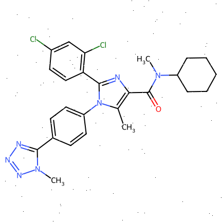 Cc1c(C(=O)N(C)C2CCCCC2)nc(-c2ccc(Cl)cc2Cl)n1-c1ccc(-c2nnnn2C)cc1